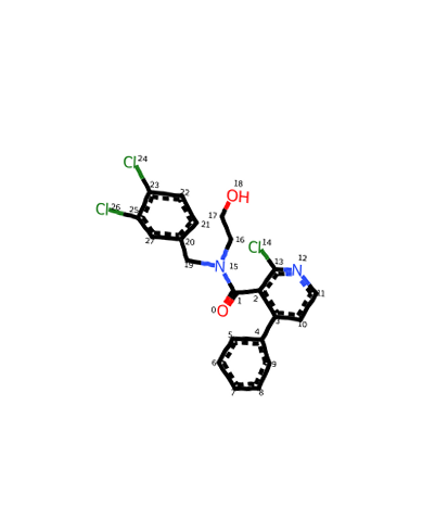 O=C(c1c(-c2ccccc2)ccnc1Cl)N(CCO)Cc1ccc(Cl)c(Cl)c1